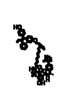 CC/C(=C(\c1ccc(O)cc1)c1ccc(OCCN(CC)CCCCCCCC(=O)N[C@H](C(=O)N2C[C@H](O)C[C@H]2C(=O)N[C@@H](C)c2ccc(-c3scnc3C)cc2)C(C)(C)C)cc1)c1ccccc1